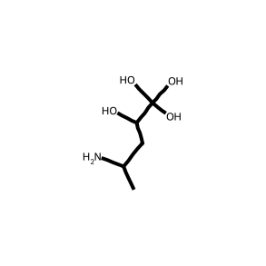 CC(N)CC(O)C(O)(O)O